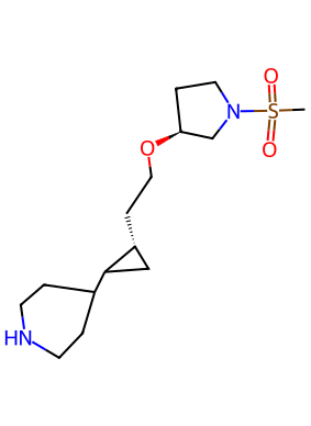 CS(=O)(=O)N1CC[C@H](OCC[C@@H]2CC2C2CCNCC2)C1